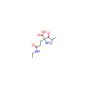 CCNC(=O)CCC(N)(C(=O)O)C(=O)C(C)C